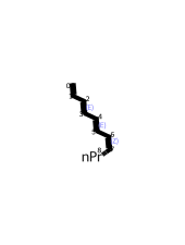 C=C/C=C/C=C/C=C\CCC